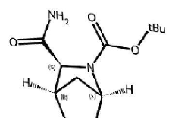 CC(C)(C)OC(=O)N1[C@H]2CC[C@H](C2)[C@H]1C(N)=O